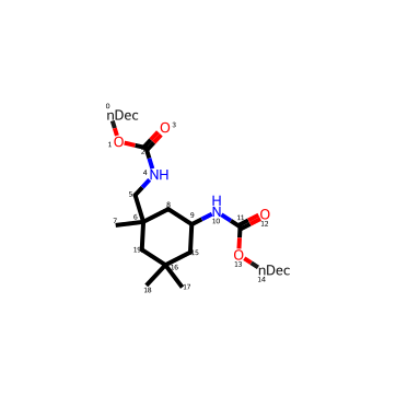 CCCCCCCCCCOC(=O)NCC1(C)CC(NC(=O)OCCCCCCCCCC)CC(C)(C)C1